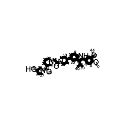 COc1ccc(-c2[nH]c3ccc(C4CCN(C(=O)CN5CCC[C@H](C(=O)N6CC[C@H](O)C6)C5)CC4)cc3c2C(C)C)cc1OC